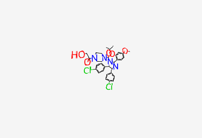 COc1ccc(C2=NC(c3ccc(Cl)cc3)C(c3ccc(Cl)cc3)N2C(=O)N2CCN(C(=O)CO)CC2)c(OC(C)C)c1